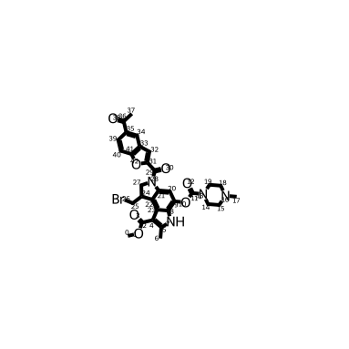 COC(=O)c1c(C)[nH]c2c(OC(=O)N3CCN(C)CC3)cc3c(c12)C(CBr)CN3C(=O)c1cc2cc(C(C)=O)ccc2o1